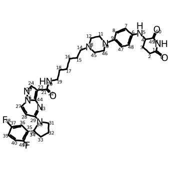 O=C1CCC(Nc2ccc(N3CCN(CCCCCCNC(=O)c4cnn5ccc(N6CCC[C@@H]6c6cc(F)ccc6F)nc45)CC3)cc2)C(=O)N1